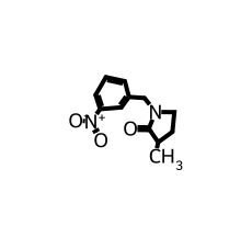 CC1CCN(Cc2cccc([N+](=O)[O-])c2)C1=O